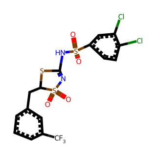 O=S(=O)(NC1=NS(=O)(=O)C(Cc2cccc(C(F)(F)F)c2)S1)c1ccc(Cl)c(Cl)c1